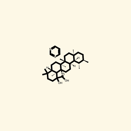 C[C@@H]1[C@H]2[C@H]3CC[C@@H]4[C@]5(C)[C@@H](CC[C@@]4(C)[C@]3(C)CC[C@@]2(C)CC[C@H]1C)C(C)(C)CCC5(O)C(=O)O.c1cncnc1